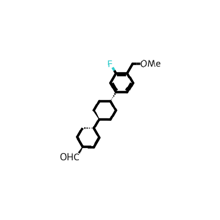 COCc1ccc([C@H]2CC[C@H]([C@H]3CC[C@H](C=O)CC3)CC2)cc1F